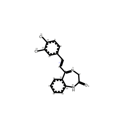 O=C1CN=C(/C=C/c2ccc(Cl)c(Cl)c2)c2ccccc2N1